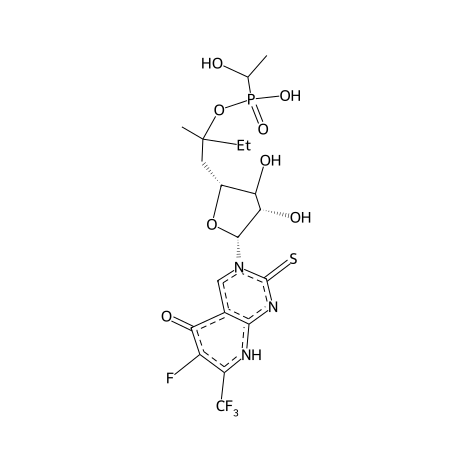 CCC(C)(C[C@H]1O[C@@H](n2cc3c(=O)c(F)c(C(F)(F)F)[nH]c3nc2=S)[C@@H](O)C1O)OP(=O)(O)C(C)O